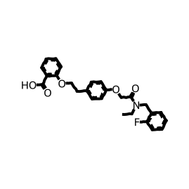 CCN(Cc1ccccc1F)C(=O)COc1ccc(CCOc2ccccc2C(=O)O)cc1